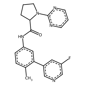 Cc1ccc(NC(=O)C2CCCN2c2ncccn2)cc1-c1cncc(F)c1